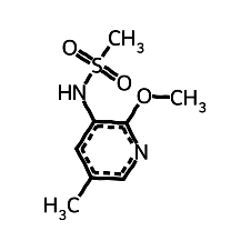 COc1ncc(C)cc1NS(C)(=O)=O